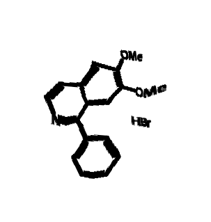 Br.COc1cc2ccnc(-c3ccccc3)c2cc1OC